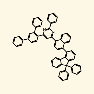 c1ccc(-c2ccc(-c3cc(-c4ccc(-c5cccc6c5-c5ccccc5C6(c5ccccc5)c5ccccc5)c5ccccc45)nc(-c4ccccc4)n3)c(-c3ccccc3)c2)cc1